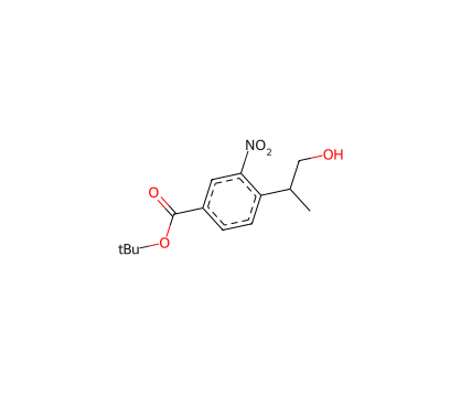 CC(CO)c1ccc(C(=O)OC(C)(C)C)cc1[N+](=O)[O-]